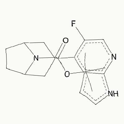 CC(C)(C)OC(=O)N1C2CCC1CC(c1c(F)cnc3[nH]ccc13)C2